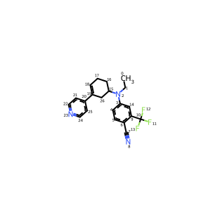 CCN(c1ccc(C#N)c(C(F)(F)F)c1)C1CCC=C(c2ccncc2)C1